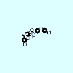 CC(c1ccc(Cl)cc1Cl)N1CC2CC1CN2C(=O)Nc1ccc(Oc2ccc(Cl)cc2)cc1